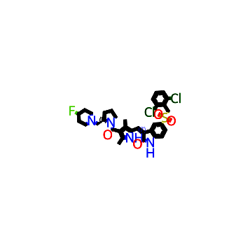 Cc1[nH]c(/C=C2\C(=O)Nc3ccc(S(=O)(=O)Cc4c(Cl)cccc4Cl)cc32)c(C)c1C(=O)N1CCC[C@@H]1CN1CCC(F)CC1